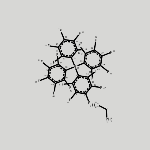 CC[PH3+].Fc1c(F)c(F)c([B-](c2c(F)c(F)c(F)c(F)c2F)(c2c(F)c(F)c(F)c(F)c2F)c2c(F)c(F)c(F)c(F)c2F)c(F)c1F